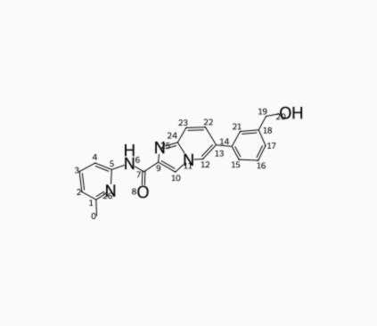 Cc1cccc(NC(=O)c2cn3cc(-c4cccc(CO)c4)ccc3n2)n1